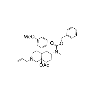 C=CCN1CC[C@@]2(c3cccc(OC)c3)C[C@H](N(C)C(=O)OCc3ccccc3)CC[C@]2(OC(C)=O)C1